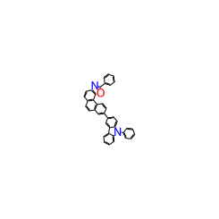 c1ccc(-c2nc3ccc4ccc5cc(-c6ccc7c(c6)c6ccccc6n7-c6ccccc6)ccc5c4c3o2)cc1